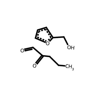 CCCC(=O)C=O.OCc1ccco1